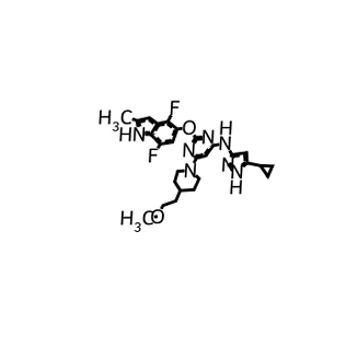 COCCC1CCN(c2cc(Nc3cc(C4CC4)[nH]n3)nc(Oc3cc(F)c4[nH]c(C)cc4c3F)n2)CC1